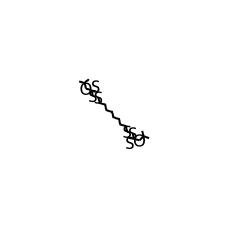 CC(C)OC(=S)SSCCCCCCCCSSC(=S)OC(C)C